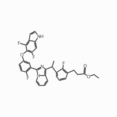 CCOC(=O)CCc1cccc(C(C)c2nc(-c3cc(Oc4c(F)cc5[nH]ccc5c4F)ccc3F)n3ccccc23)c1F